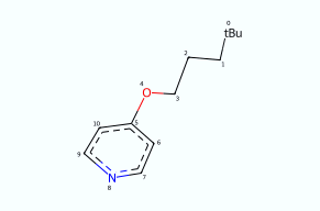 CC(C)(C)CCCOc1ccncc1